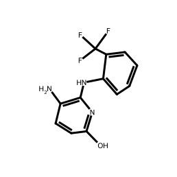 Nc1ccc(O)nc1Nc1ccccc1C(F)(F)F